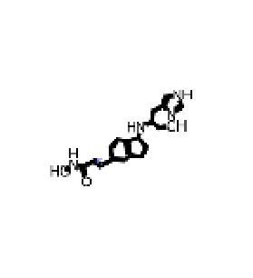 O=C(/C=C/c1ccc2c(c1)CCC2NC(CO)Cc1c[nH]cn1)NO